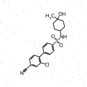 CC1(O)CCC(NS(=O)(=O)c2ccc(-c3ccc(C#N)cc3Cl)cc2)CC1